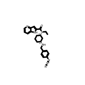 CCN(C(=O)c1cc2ncccc2[nH]1)[C@H]1CCC[C@@H](NCc2ccc(N=[N+]=[N-])cc2)C1